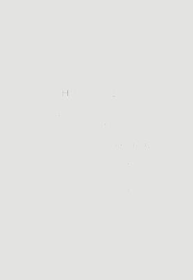 BOC1C(OP(=O)(OCCCC)OCCCC)OC(CC)C1C